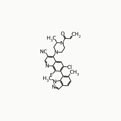 C=CC(=O)N1CCN(c2c(C#N)cnc3c(F)c(-c4c(C)ccc5cnn(C)c45)c(Cl)cc23)C[C@H]1C